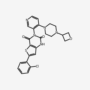 O=c1[nH]c2cc(-c3ccccc3Cl)sc2c(=O)n1-c1cnccc1N1CCN(C2COC2)CC1